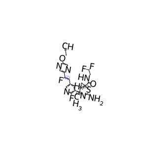 C#CCOc1cnc(/C(F)=C/c2cnc(F)c([C@@]3(C)N=C(N)S[C@@]4(C(=O)NCC(F)F)C[C@H]43)c2)cn1